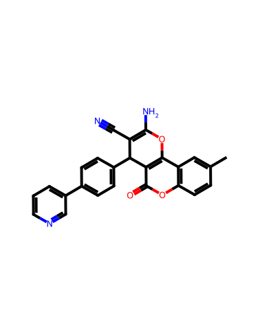 Cc1ccc2oc(=O)c3c(c2c1)OC(N)=C(C#N)C3c1ccc(-c2cccnc2)cc1